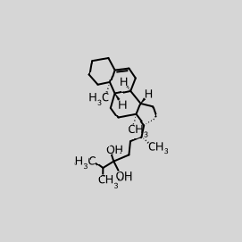 CC(C)C(O)(O)CC[C@@H](C)[C@H]1CC[C@H]2[C@@H]3CC=C4CCCC[C@]4(C)[C@H]3CC[C@]12C